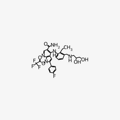 CCc1c(CNCC(O)CO)cccc1Nc1c(C(N)=O)cnc2c1cc(-c1ccc(F)cc1)n2OC(=O)C(F)(F)F